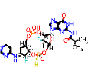 CC(C)C(=O)Nc1nc2c(ncn2[C@@H]2O[C@@H]3CO[P@](=O)(S)O[C@@H]4[C@@H](COP(=O)(O)O[C@@H]2[C@@H]3F)C[C@@H](Nc2ccncn2)[C@@H]4F)c(=O)[nH]1